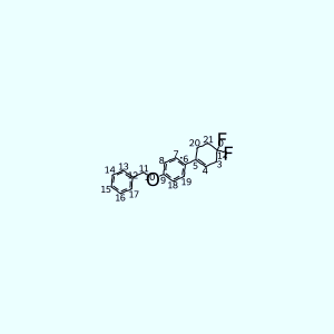 FC1(F)CC=C(c2[c]cc(OCc3ccccc3)cc2)CC1